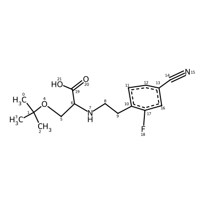 CC(C)(C)OCC(NCCc1ccc(C#N)cc1F)C(=O)O